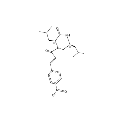 CC(C)C[C@H]1CN(C(=O)C=Cc2ccc([N+](=O)[O-])cc2)[C@@H](CC(C)C)C(=O)N1